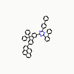 c1ccc(-c2ccc(-c3nc(-c4ccc5c(c4)-c4ccc(-c6ccc7ccc8cccc9ccc6c7c89)cc4C5(c4ccccc4)c4ccccc4)nc(-c4ccccc4-c4ccccc4)n3)cc2)cc1